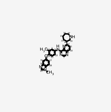 Cc1cc(Nc2ncnc3ccc([C@H]4CCCCNC4)nc23)ccc1Oc1ccc2c(c1)ncn2C